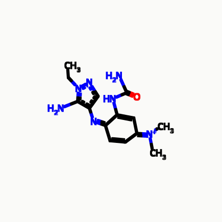 CCn1ncc(/N=C2/C=CC(=[N+](C)C)C=C2NC(N)=O)c1N